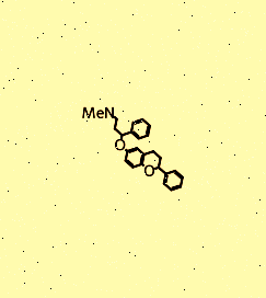 CNCCC(Oc1ccc2c(c1)CCC(c1ccccc1)O2)c1ccccc1